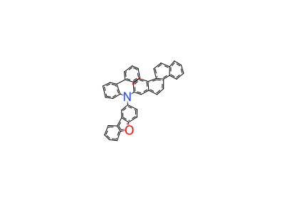 c1ccc(-c2ccccc2N(c2ccc3c(ccc4c5ccccc5ccc34)c2)c2ccc3oc4ccccc4c3c2)cc1